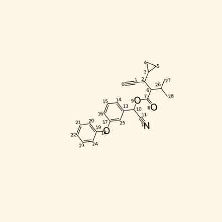 C#CC(C1CC1)C(C(=O)OC(C#N)c1cccc(Oc2ccccc2)c1)C(C)C